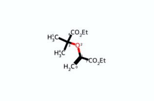 C=C(OC(C)(C)C(=O)OCC)C(=O)OCC